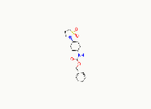 O=C(N[C@H]1CC[C@H](N2CCCS2(=O)=O)CC1)OCc1ccccc1